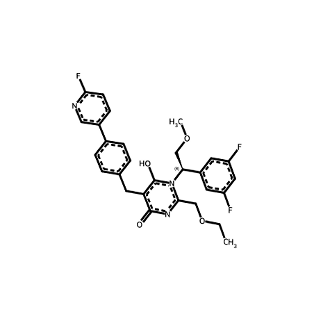 CCOCc1nc(=O)c(Cc2ccc(-c3ccc(F)nc3)cc2)c(O)n1[C@@H](COC)c1cc(F)cc(F)c1